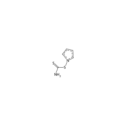 NC(=S)Sn1cccc1